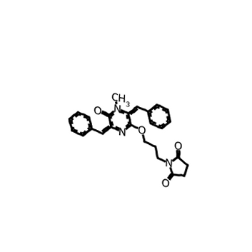 Cn1c(=Cc2ccccc2)c(OCCCN2C(=O)CCC2=O)nc(=Cc2ccccc2)c1=O